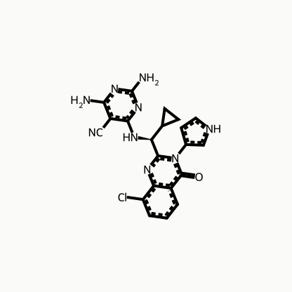 N#Cc1c(N)nc(N)nc1N[C@H](c1nc2c(Cl)cccc2c(=O)n1-c1cc[nH]c1)C1CC1